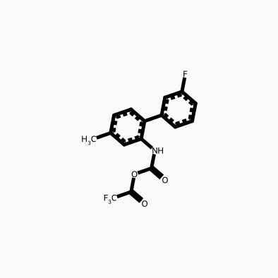 Cc1ccc(-c2cccc(F)c2)c(NC(=O)OC(=O)C(F)(F)F)c1